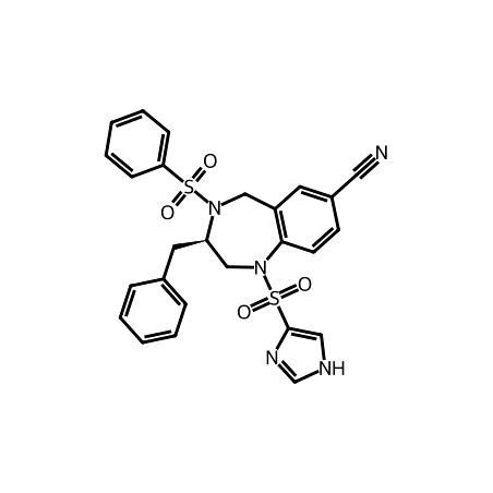 N#Cc1ccc2c(c1)CN(S(=O)(=O)c1ccccc1)[C@H](Cc1ccccc1)CN2S(=O)(=O)c1c[nH]cn1